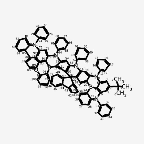 CC(C)(C)c1cc2c3c(c1)N(c1ccccc1)c1cc4c(cc1B3c1ccccc1N2c1ccccc1)C1(c2ccccc2-c2ccccc21)c1cc2c(cc1N4c1ccccc1)N(c1ccccc1)c1cc(N(c3ccccc3)c3ccccc3-c3ccccc3)cc3c1B2c1ccccc1O3